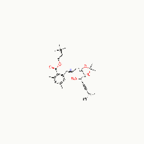 Cc1cc(C)c(C(=O)OCC[Si](C)(C)C)c(/C=C/C[C@@H]2OC(C)(C)O[C@@H]2C(O)C#C[C@H](C)C(C)C)c1